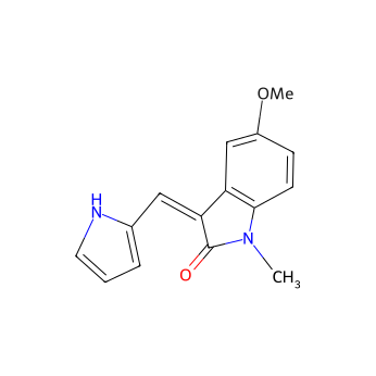 COc1ccc2c(c1)C(=Cc1ccc[nH]1)C(=O)N2C